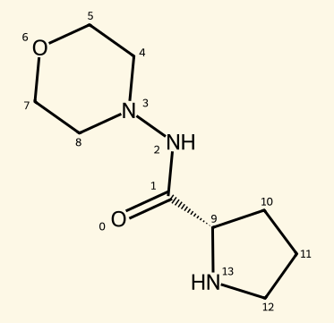 O=C(NN1CCOCC1)[C@@H]1CCCN1